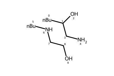 CCCCC(O)CN.CCCCNCCO